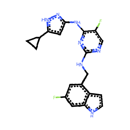 Fc1cc(CNc2ncc(F)c(Nc3cc(C4CC4)[nH]n3)n2)c2cc[nH]c2c1